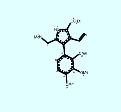 C=Cc1c(C(=O)OCC)[nH]c(CNC)c1-c1ccc(OC)c(OC)c1OC